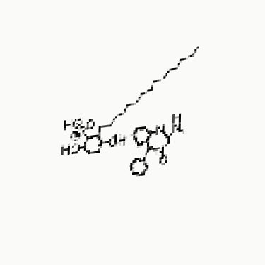 CCCCCCCCCCCCCCCc1c(O)ccc(O)c1S(=O)(=O)O.CNC1=Nc2ccc(Cl)cc2C(c2ccccc2)=[N+]([O-])C1